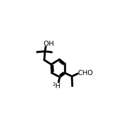 [2H]c1cc(CC(C)(C)O)ccc1C(C)C=O